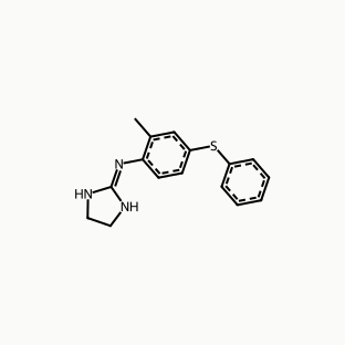 Cc1cc(Sc2ccccc2)ccc1N=C1NCCN1